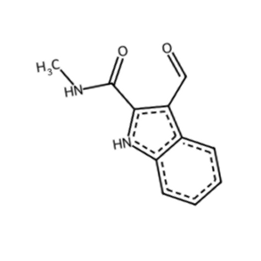 CNC(=O)c1[nH]c2ccccc2c1C=O